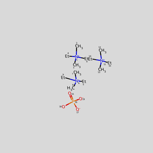 CC[N+](C)(C)CC.CC[N+](C)(C)CC.CC[N+](C)(C)CC.O=P([O-])([O-])[O-]